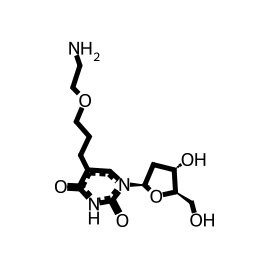 NCCOCCCc1cn([C@H]2C[C@H](O)[C@@H](CO)O2)c(=O)[nH]c1=O